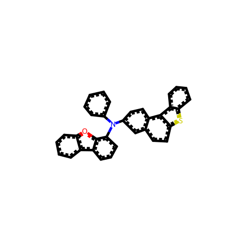 c1ccc(N(c2ccc3c(ccc4sc5ccccc5c43)c2)c2cccc3c2oc2ccccc23)cc1